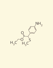 CCOC(=O)C(SC)c1ccc(N)cc1